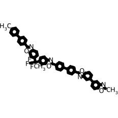 Cc1ccc(-c2ccc(-c3nc4ccc(C(C)(c5ccc6nc(-c7ccc(-c8ccc(-c9nc%10cc(-c%11ccc%12oc(C)nc%12c%11)ccc%10o9)cc8)cc7)oc6c5)C(F)(F)F)cc4o3)cc2)cc1